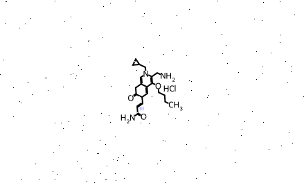 CCCCOC1=C(CN)N(CC2CC2)C=C2CC(=O)C(/C=C/C(N)=O)C=C21.Cl